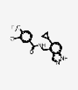 O=C(NCc1c(C2CC2)ccc2[nH]ncc12)c1ccc(C(F)(F)F)c(Cl)c1